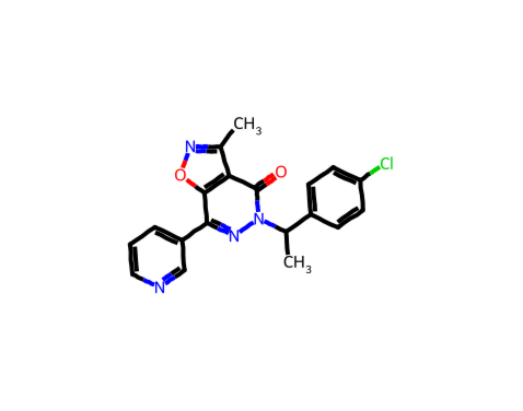 Cc1noc2c(-c3cccnc3)nn(C(C)c3ccc(Cl)cc3)c(=O)c12